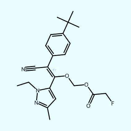 CCn1nc(C)cc1/C(OCOC(=O)CF)=C(\C#N)c1ccc(C(C)(C)C)cc1